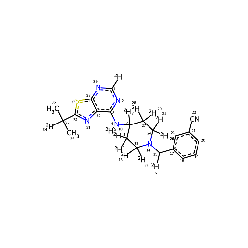 [2H]c1nc(N([2H])C2([2H])C([2H])([2H])C([2H])([2H])N(C([2H])c3cccc(C#N)c3)C([2H])([2H])C2([2H])[2H])c2nc(C([2H])(C)C)sc2n1